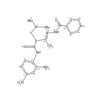 CCCCN(CCCC)CC(C(=O)Nc1ccc([N+](=O)[O-])cc1[N+](=O)[O-])/C(C)=N/NC(=O)c1ccncc1